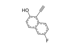 C#Cc1c(O)ccc2cc(F)ccc12